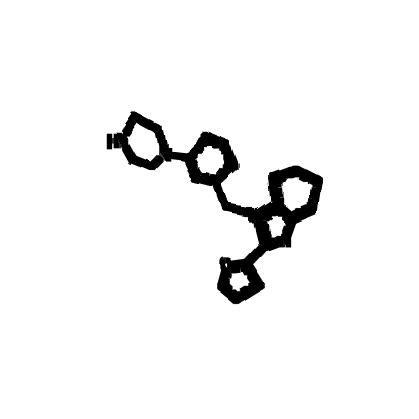 c1cc(Cn2c(-c3ccco3)nc3ccccc32)cc(N2CCNCC2)c1